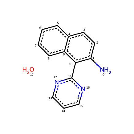 Nc1ccc2ccccc2c1-c1ncccn1.O